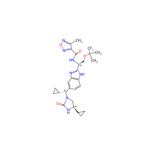 Cc1nonc1C(=O)N[C@@H](COC(C)(C)C(F)(F)F)c1nc2cc([C@@H](C3CC3)N3C[C@@H](C4CC4)NC3=O)ccc2[nH]1